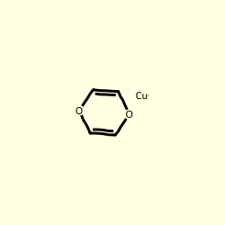 C1=COC=CO1.[Cu]